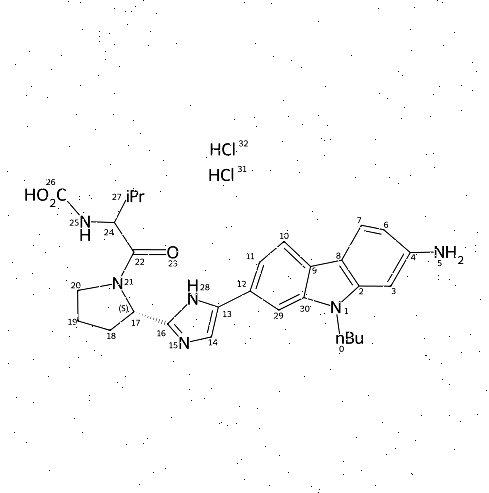 CCCCn1c2cc(N)ccc2c2ccc(-c3cnc([C@@H]4CCCN4C(=O)C(NC(=O)O)C(C)C)[nH]3)cc21.Cl.Cl